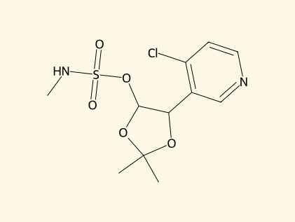 CNS(=O)(=O)OC1OC(C)(C)OC1c1cnccc1Cl